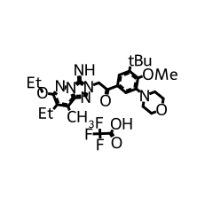 CCOc1nn2c(=N)n(CC(=O)c3cc(N4CCOCC4)c(OC)c(C(C)(C)C)c3)nc2c(C)c1CC.O=C(O)C(F)(F)F